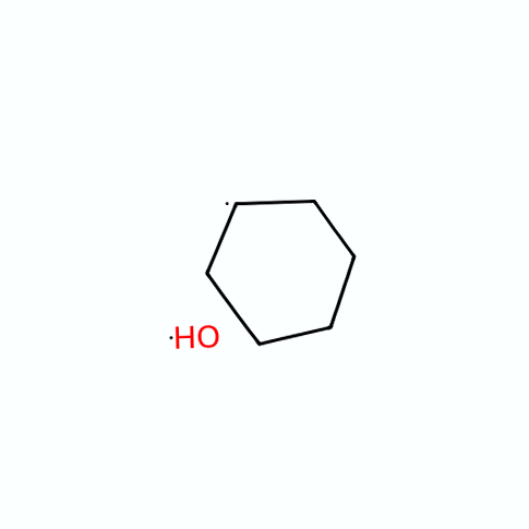 [CH]1CCCCC1.[OH]